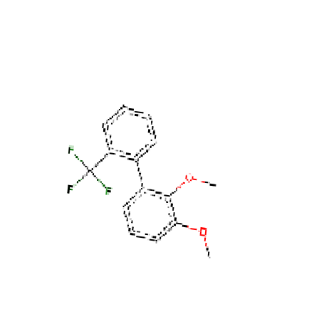 COc1cccc(-c2cc[c]cc2C(F)(F)F)c1OC